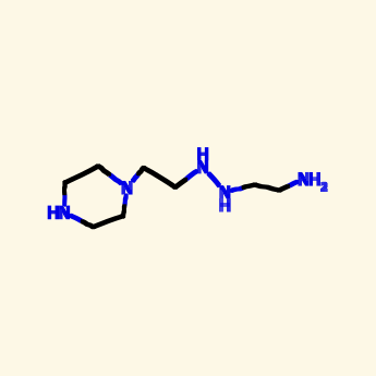 NCCNNCCN1CCNCC1